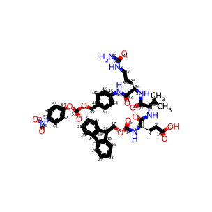 CC(C)[C@H](NC(=O)[C@H](CCC(=O)O)NC(=O)OCC1c2ccccc2-c2ccccc21)C(=O)N[C@@H](CCCNC(N)=O)C(=O)Nc1ccc(COC(=O)Oc2ccc([N+](=O)[O-])cc2)cc1